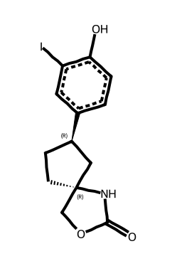 O=C1N[C@@]2(CC[C@@H](c3ccc(O)c(I)c3)C2)CO1